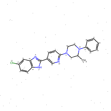 CC1CN(c2ccc(-c3nc4cc(Cl)ccc4[nH]3)cn2)CCN1c1ccccc1